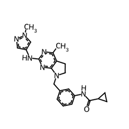 Cc1nc(Nc2cnn(C)c2)nc2c1CCN2Cc1cccc(NC(=O)C2CC2)c1